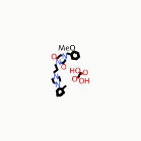 COc1ccccc1CN1CC(=O)N(CCCN2CCN(c3ccccc3C)CC2)C(=O)C1.O=C(O)C(=O)O